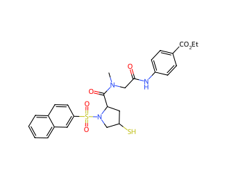 CCOC(=O)c1ccc(NC(=O)CN(C)C(=O)C2CC(S)CN2S(=O)(=O)c2ccc3ccccc3c2)cc1